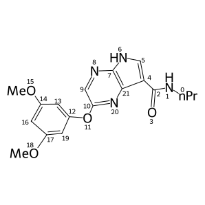 CCCNC(=O)c1c[nH]c2ncc(Oc3cc(OC)cc(OC)c3)nc12